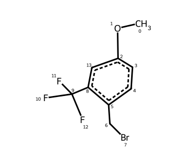 COc1ccc(CBr)c(C(F)(F)F)c1